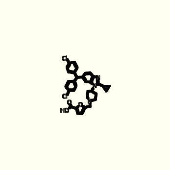 O=C(O)c1ccc(CN2CCC(n3c(C4CC4)nc4ccc(C(c5ccc(Cl)cc5)c5ccc(Cl)cc5)cc43)CC2)o1